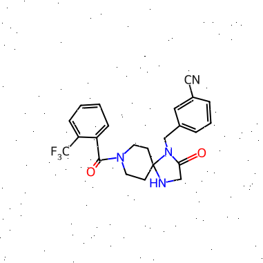 N#Cc1cccc(CN2C(=O)CNC23CCN(C(=O)c2ccccc2C(F)(F)F)CC3)c1